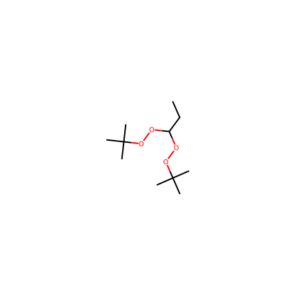 CCC(OOC(C)(C)C)OOC(C)(C)C